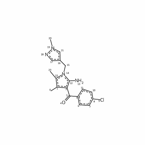 Cc1c(C(=O)c2ccc(Cl)cc2)c(N)n(Cc2cnn(C)c2)c1C